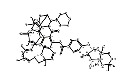 COC(=O)/C(C)=C\CC12OC(C)(C)C3CC(C1=O)C(N1CCOCC1)C1C(=O)c4c(OC(=O)c5ccc(O[C@@H]6O[C@@H]7COC(C)(C)O[C@H]7[C@H](O)[C@H]6O)cc5)c5c(c(CC=C(C)C)c4OC132)OC(C)(CCC=C(C)C)C=C5